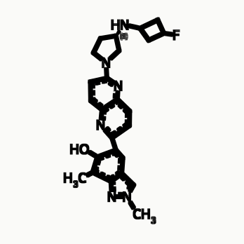 Cc1c(O)c(-c2ccc3nc(N4CC[C@H](NC5CC(F)C5)C4)ccc3n2)cc2cn(C)nc12